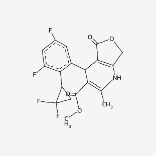 COC(=O)C1=C(C)NC2=C(C(=O)OC2)C1c1cc(F)cc(F)c1C1CC1(F)F